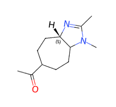 CC(=O)C1CCC2[C@H](CC1)N=C(C)N2C